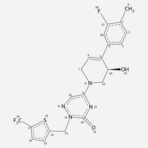 Cc1ccc(C2=CCN(c3cnn(Cc4ccc(C(F)(F)F)s4)c(=O)n3)C[C@@H]2O)cc1F